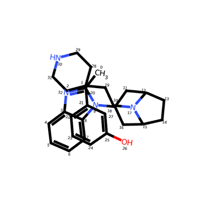 Cc1nc2ccccc2n1C1CC2CCC(C1)N2CCC1(c2cccc(O)c2)CCNCC1